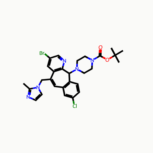 Cc1nccn1CC1=Cc2cc(Cl)ccc2C(N2CCN(C(=O)OC(C)(C)C)CC2)c2ncc(Br)cc21